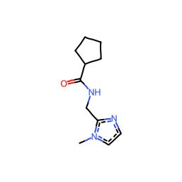 Cn1ccnc1CNC(=O)C1CCCC1